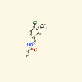 C=CC(=O)NCc1ccc(Cl)c(C(F)(F)F)c1